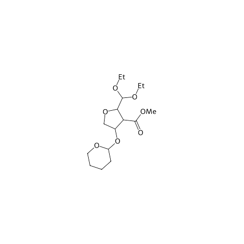 CCOC(OCC)C1OCC(OC2CCCCO2)C1C(=O)OC